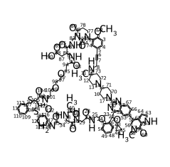 COc1ccc(C#CCNC2(C)CCN(C3CCN(c4nc([C@@](COCNC(=O)CNC(=O)[C@H](CC(N)=O)NC(C)=O)(OC5CC5)c5ccccc5)c5cc(-c6cn(C)c(=O)c7[nH]ccc67)ccc5n4)CC3)CC2)cc1N1CCC(=O)N(CNC(=O)[C@H](CC(=O)O)NC(=O)CCOCCOCCN2C(=O)C(Sc3ccccc3)=C(Sc3ccccc3)C2=O)C1=O